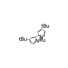 CC(C)(C)c1cc[n+]2c(c1)-c1cc(C(C)(C)C)cc[n+]1[Ru]2